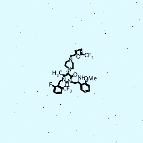 COc1ccccc1[C@@H](N)Cn1c(=O)c(N2CCN(Cc3ccc(C(F)(F)F)o3)CC2)c(C)n(Cc2c(F)cccc2C(F)(F)F)c1=O